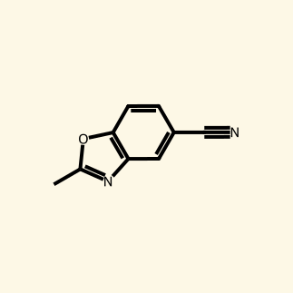 Cc1nc2cc(C#N)ccc2o1